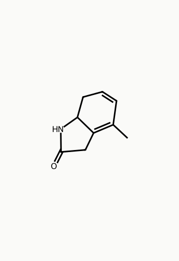 CC1=C2CC(=O)NC2CC=C1